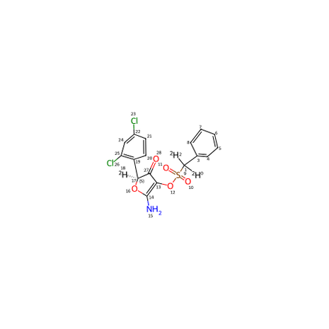 [2H]C([2H])(c1ccccc1)S(=O)(=O)OC1=C(N)O[C@@]([2H])(c2ccc(Cl)cc2Cl)C1=O